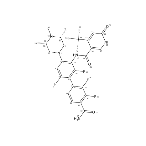 C[C@@H]1CN(c2cc(F)c(-c3ccc(C(N)=O)c(F)c3F)c(F)c2NC(=O)c2c[nH]c(=O)cc2C(F)(F)F)C[C@H](C)N1C